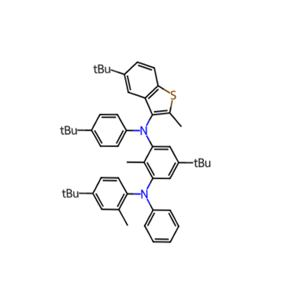 Cc1cc(C(C)(C)C)ccc1N(c1ccccc1)c1cc(C(C)(C)C)cc(N(c2ccc(C(C)(C)C)cc2)c2c(C)sc3ccc(C(C)(C)C)cc23)c1C